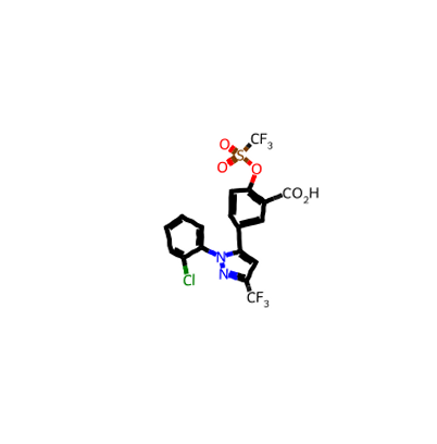 O=C(O)c1cc(-c2cc(C(F)(F)F)nn2-c2ccccc2Cl)ccc1OS(=O)(=O)C(F)(F)F